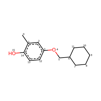 Cc1cc(OCC2CCCCC2)ccc1O